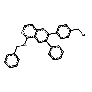 NCc1ccc(-c2nc3ccnc(NCc4ccccc4)c3cc2-c2ccccc2)cc1